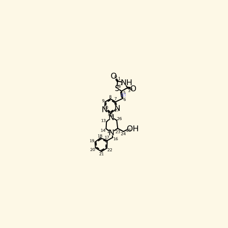 O=C1NC(=O)/C(=C/c2ccnc(N3CCN(Cc4ccccc4)C(CO)C3)n2)S1